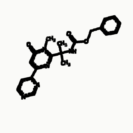 Cn1c(C(C)(C)NC(=O)OCc2ccccc2)nc(-c2ccncn2)cc1=O